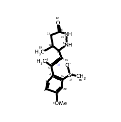 COc1ccc(/C(C)=C/C2NNC(=O)CC2C)c([S+](C)[O-])c1